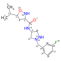 CC(C)C1CC(C(=O)NC2CNN(Cc3cccc(F)c3)C2)NO1